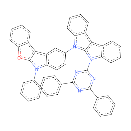 c1ccc(-c2nc(-c3ccccc3)nc(-n3c4ccccc4c4c5ccccc5n(-c5ccc6c(c5)c5c7ccccc7oc5n6-c5ccccc5)c43)n2)cc1